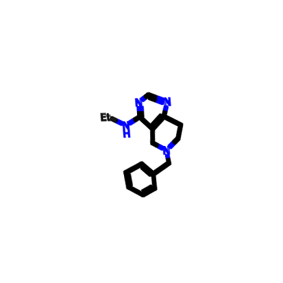 CCNc1ncnc2c1CN(Cc1ccccc1)CC2